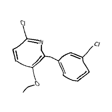 COc1ccc(Cl)nc1-c1cccc(Cl)c1